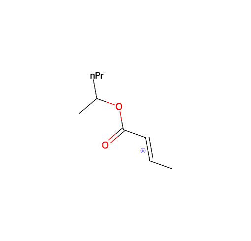 C/C=C/C(=O)OC(C)CCC